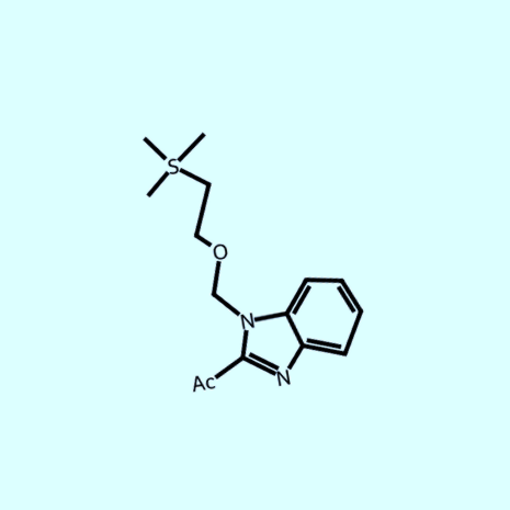 CC(=O)c1nc2ccccc2n1COCCS(C)(C)C